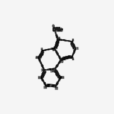 [CH2]Oc1cccc2c1ccc1ccccc12